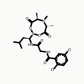 CC(C)C[C@H](NC(=O)CNC(=O)c1cc(Cl)ccc1Cl)B1OC(=O)[C@@H](C)N(C)[C@H](C)C(=O)O1